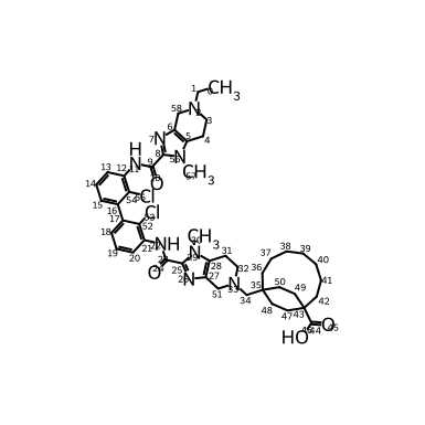 CCN1CCc2c(nc(C(=O)Nc3cccc(-c4cccc(NC(=O)c5nc6c(n5C)CCN(CC57CCCCCCCC(C(=O)O)(CC5)CC7)C6)c4Cl)c3Cl)n2C)C1